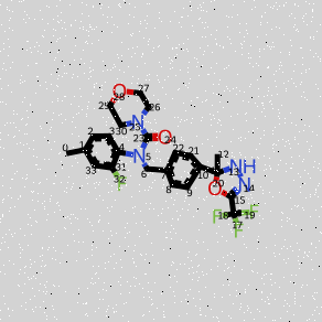 Cc1ccc(N(Cc2ccc(C3(C)NN=C(C(F)(F)F)O3)cc2)C(=O)N2CCOCC2)c(F)c1